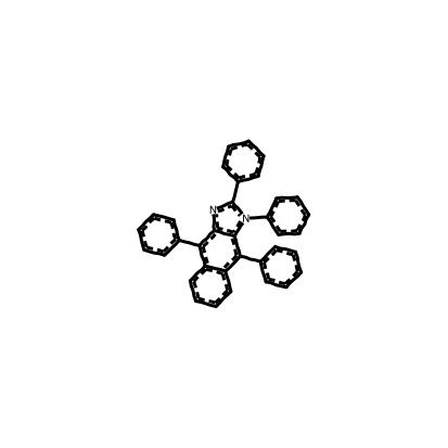 c1ccc(-c2c3ccccc3c(-c3ccccc3)c3c2nc(-c2ccccc2)n3-c2ccccc2)cc1